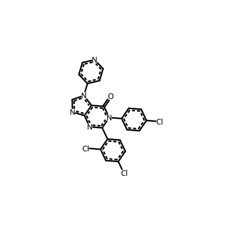 O=c1c2c(ncn2-c2ccncc2)nc(-c2ccc(Cl)cc2Cl)n1-c1ccc(Cl)cc1